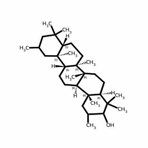 CC1CC(C)(C)[C@@H]2CC[C@]3(C)[C@H](CC[C@@H]4[C@@]5(C)CC(C)C(O)C(C)(C)[C@@H]5CC[C@]43C)[C@@]2(C)C1